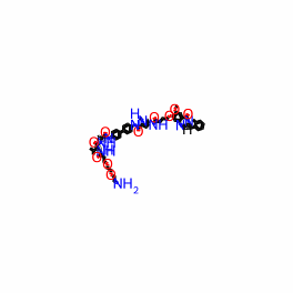 COc1cc2c(cc1OCCCC(=O)Nc1cc(C(=O)Nc3ccc(-c4ccc(NC(=O)[C@H](C)NC(=O)[C@@H](NC(=O)CCOCCOCCN)C(C)C)cc4)cc3)n(C)c1)N=C[C@@H]1Cc3ccccc3CN1C2=O